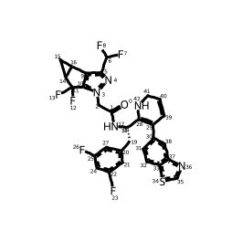 O=C(Cn1nc(C(F)F)c2c1C(F)(F)C1CC21)N[C@@H](Cc1cc(F)cc(F)c1)C1=C(c2ccc3scnc3c2)C=CCN1